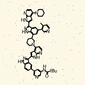 Cc1ccncc1-c1cc(C2CCCN(c3ccnc4[nH]c(-c5n[nH]c6ccc(-c7cncc(NC(=O)C(C)(C)C)c7)cc56)cc34)C2)c2[nH]nc(-c3cc4c(N5CCCCC5)ccnc4[nH]3)c2c1